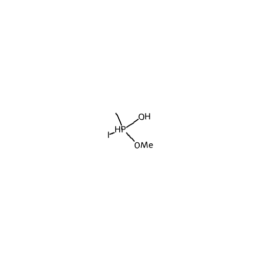 CO[PH](C)(O)I